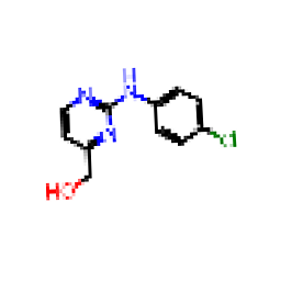 OCc1ccnc(Nc2ccc(Cl)cc2)n1